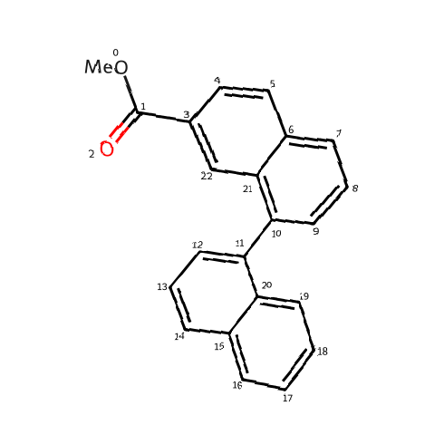 COC(=O)c1ccc2cccc(-c3cccc4ccccc34)c2c1